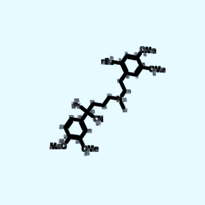 CCCCc1cc(OC)c(OC)cc1CCN(C)CCCC(C#N)(c1ccc(OC)c(OC)c1)C(C)C